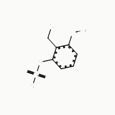 CC[C@H](C)Oc1cccc(NS(N)(=O)=O)c1C[N+](=O)[O-]